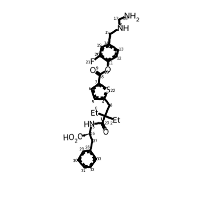 CCC(CC)(Cc1ccc(C(=O)Oc2ccc(CNCN)cc2F)s1)C(=O)N[C@@H](Cc1ccccc1)C(=O)O